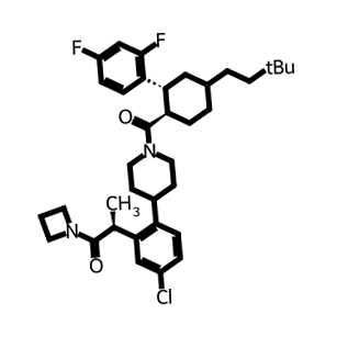 C[C@H](C(=O)N1CCC1)c1cc(Cl)ccc1C1CCN(C(=O)[C@@H]2CCC(CCC(C)(C)C)C[C@H]2c2ccc(F)cc2F)CC1